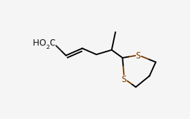 CC(CC=CC(=O)O)C1SCCCS1